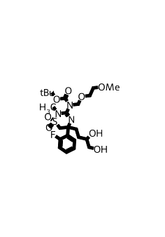 COCCOCN(C(=O)OC(C)(C)C)C1=NC(CCC(O)CO)(c2ccccc2F)CS(=O)(=O)N1C